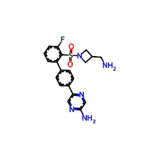 NCC1CN(S(=O)(=O)c2c(F)cccc2-c2ccc(-c3cnc(N)cn3)cc2)C1